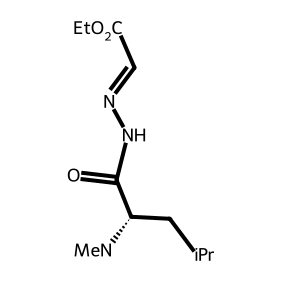 CCOC(=O)/C=N/NC(=O)[C@H](CC(C)C)NC